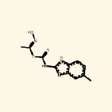 CC(=NO)OC(=O)Nc1nc2cc(C)ccc2[nH]1